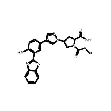 CNC(=O)C1CC(n2cc(-c3cnc(N)c(-c4nc5ccccc5o4)c3)cn2)CN1C(=O)OC(C)(C)C